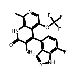 Cc1ncc(OC(F)(F)F)c2c(-c3ccc(F)c4[nH]ncc34)c(N)c(=O)[nH]c12